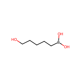 OCCCCCB(O)O